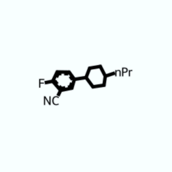 CCCC1CCC(c2ccc(F)c(C#N)c2)CC1